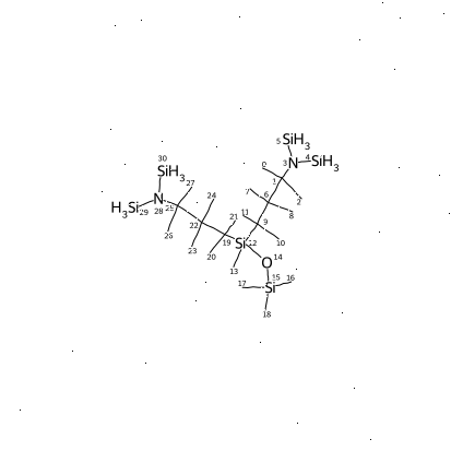 CC(C)(N([SiH3])[SiH3])C(C)(C)C(C)(C)[Si](C)(O[Si](C)(C)C)C(C)(C)C(C)(C)C(C)(C)N([SiH3])[SiH3]